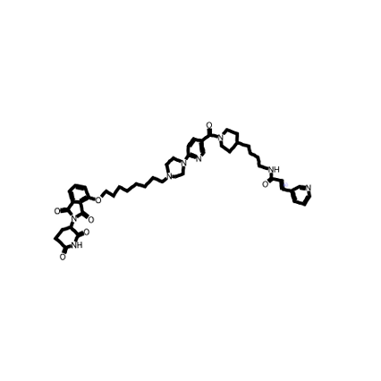 O=C(/C=C/c1cccnc1)NCCCCC1CCN(C(=O)c2ccc(N3CCN(CCCCCCCCOc4cccc5c4C(=O)N(C4CCC(=O)NC4=O)C5=O)CC3)nc2)CC1